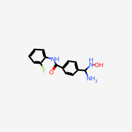 NC(NO)c1ccc(C(=O)Nc2ccccc2F)cc1